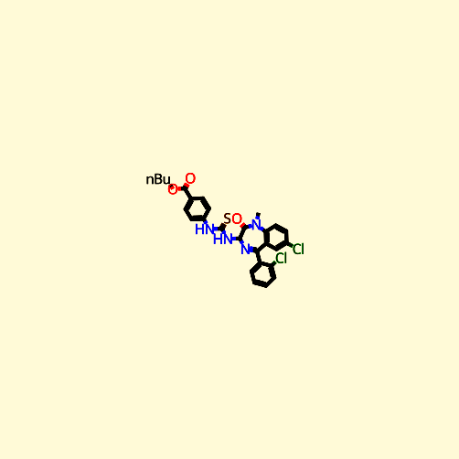 CCCCOC(=O)c1ccc(NC(=S)NC2N=C(c3ccccc3Cl)c3cc(Cl)ccc3N(C)C2=O)cc1